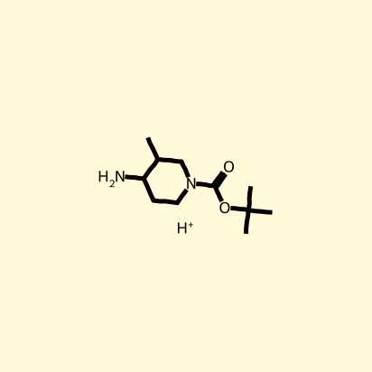 CC1CN(C(=O)OC(C)(C)C)CCC1N.[H+]